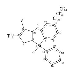 CC1=[C]([Ti+3])CC([Si](C)(c2ccccc2)c2ccccc2)=C1C.[Cl-].[Cl-].[Cl-]